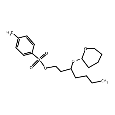 CCCCC(CCOS(=O)(=O)c1ccc(C)cc1)O[C@H]1CCCCO1